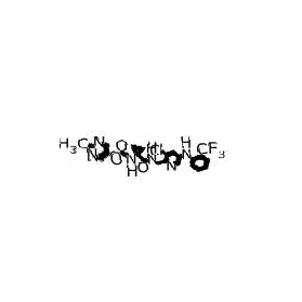 Cc1ncc(OC(=O)NC2(C(=O)NCc3ncc(Nc4ccccc4C(F)(F)F)cc3Cl)CC2)cn1